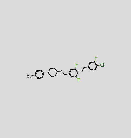 CCc1ccc([C@H]2CC[C@H](CCc3cc(F)c(CCc4ccc(Cl)c(F)c4)c(F)c3)CC2)cc1